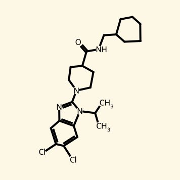 CC(C)n1c(N2CCC(C(=O)NCC3CCCCC3)CC2)nc2cc(Cl)c(Cl)cc21